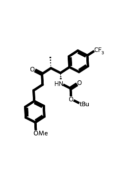 COc1ccc(CCC(=O)[C@H](C)[C@@H](NC(=O)OC(C)(C)C)c2ccc(C(F)(F)F)cc2)cc1